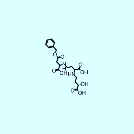 O=C(CC(NCCC(NCC[C@H](O)C(=O)O)C(=O)O)C(=O)O)OCc1ccccc1